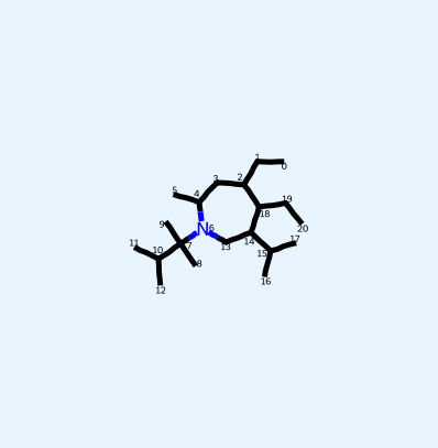 CCC1CC(C)N(C(C)(C)C(C)C)CC(C(C)C)C1CC